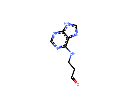 O=CCCNc1ncnc2[nH]cnc12